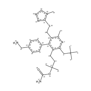 Cc1nc(CC(C)(C)C)c(CCC(C)(C)OC(N)=O)c(-c2ccc(CN)cc2)c1CSc1nncn1C